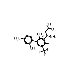 Cc1ccc(-c2cc(C(F)(F)F)c(F)c(C(N)CC(=O)O)c2C)c(C)c1